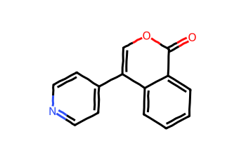 O=c1occ(-c2ccncc2)c2ccccc12